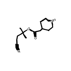 CC(C)(CC#N)OC(=O)C1CCNCC1